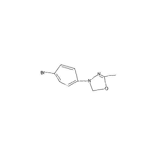 CC1=NN(c2ccc(Br)cc2)CO1